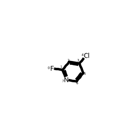 Fc1cc(Cl)ccn1